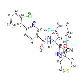 C[C@@](NC(=O)c1ccc(-c2ccccc2Cl)nc1)(C(=O)NC1(C#N)CCSCC1)c1c(F)cccc1F